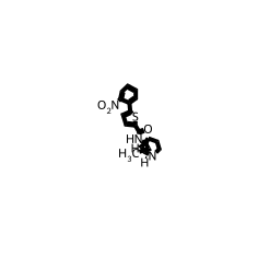 C[C@H]1[C@H](NC(=O)c2ccc(-c3ccccc3[N+](=O)[O-])s2)C2CCN1CC2